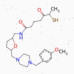 COc1ccc(CN2CCN(CC3CCC(CNC(=O)CCCC(=O)C(C)S)O3)CC2)cc1